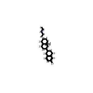 C/C=C/CC[C@@H]1CC[C@@H]2CC(C3CCc4cc(C)ccc4C3)CCC2C1